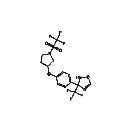 O=S(=O)(N1CCC(Oc2ccc(C3(C(F)(F)F)N=CON3)cc2)C1)C(F)(F)F